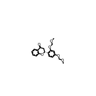 COCOc1ccc([C@H]2CC(=O)c3ccccc3O2)c(OCOC)c1